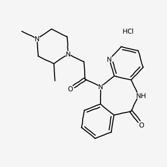 CC1CN(C)CCN1CC(=O)N1c2ccccc2C(=O)Nc2cccnc21.Cl